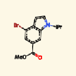 COC(=O)c1cc(Br)c2ccn(C(C)C)c2c1